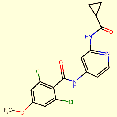 O=C(Nc1ccnc(NC(=O)C2CC2)c1)c1c(Cl)cc(OC(F)(F)F)cc1Cl